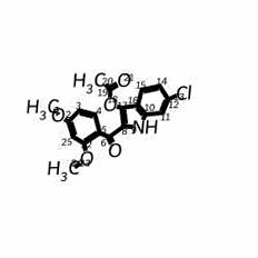 COc1ccc(C(=O)c2[nH]c3cc(Cl)ccc3c2OC(C)=O)c(OC)c1